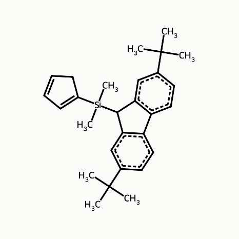 CC(C)(C)c1ccc2c(c1)C([Si](C)(C)C1=CC=CC1)c1cc(C(C)(C)C)ccc1-2